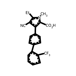 CCc1c(C#N)c(-c2ccc(-c3ccccc3C(F)(F)F)cc2)c(C(=O)O)n1C